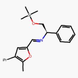 Cc1oc(/C=N/[C@@H](CO[Si](C)(C)C)c2ccccc2)cc1C(C)C